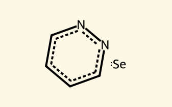 [Se].c1ccnnc1